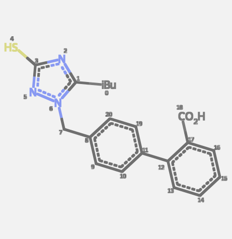 CCC(C)c1nc(S)nn1Cc1ccc(-c2ccccc2C(=O)O)cc1